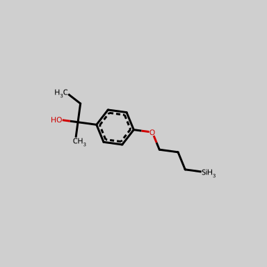 CCC(C)(O)c1ccc(OCCC[SiH3])cc1